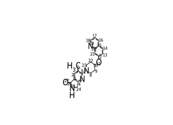 Cc1cc2c(nc1N1CCC(Oc3ccc4cccnc4c3)CC1)CNC2=O